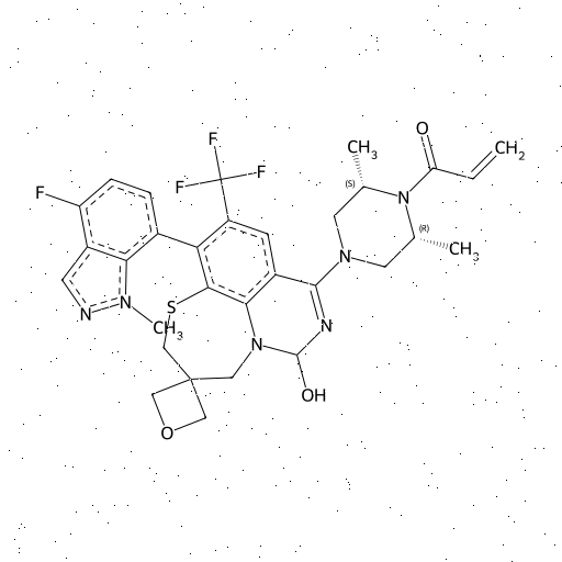 C=CC(=O)N1[C@H](C)CN(C2=NC(O)N3CC4(COC4)CSc4c(-c5ccc(F)c6cnn(C)c56)c(C(F)(F)F)cc2c43)C[C@@H]1C